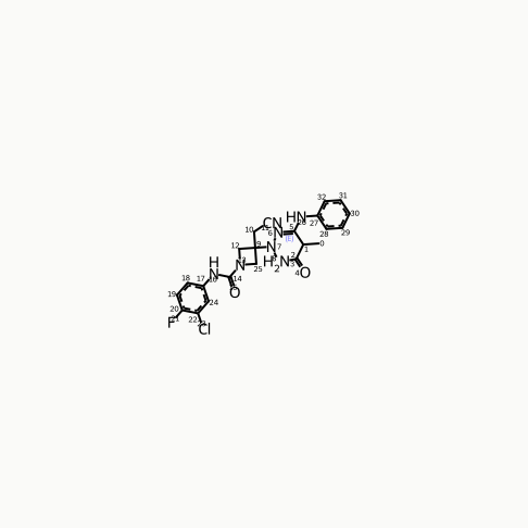 CC(C(N)=O)/C(=N\N(C)C1(CC#N)CN(C(=O)Nc2ccc(F)c(Cl)c2)C1)Nc1ccccc1